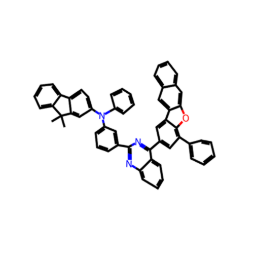 CC1(C)c2ccccc2-c2ccc(N(c3ccccc3)c3cccc(-c4nc(-c5cc(-c6ccccc6)c6oc7cc8ccccc8cc7c6c5)c5ccccc5n4)c3)cc21